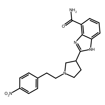 NC(=O)c1cccc2[nH]c(C3CCN(CCc4ccc([N+](=O)[O-])cc4)C3)nc12